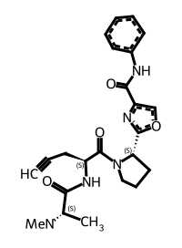 C#CC[C@H](NC(=O)[C@H](C)NC)C(=O)N1CCC[C@H]1c1nc(C(=O)Nc2ccccc2)co1